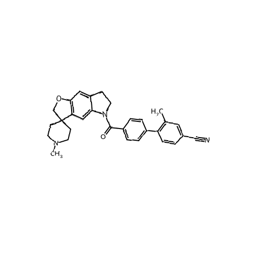 Cc1cc(C#N)ccc1-c1ccc(C(=O)N2CCc3cc4c(cc32)C2(CCN(C)CC2)CO4)cc1